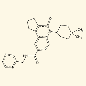 CC1(C)CCC(n2c(=O)c3c(c4cc(C(=O)NCc5ccccn5)ccc42)CCC3)CC1